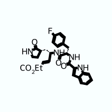 CCOC(=O)/C=C/[C@H](C[C@@H]1CCNC1=O)NC(=O)[C@H](Cc1ccc(F)cc1)NC(=O)c1cc2ccccc2[nH]1